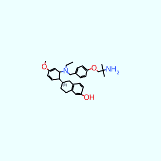 CCN(Cc1ccc(OCC(C)(C)N)cc1)C1C=C(OC)C=CC1[C@@H]1CCc2cc(O)ccc2C1